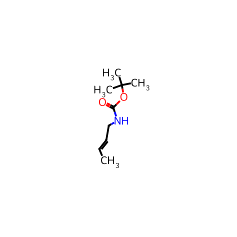 CC=CCNC(=O)OC(C)(C)C